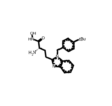 CC(C)(C)c1ccc(Cn2c(CC[C@H](N)C(=O)NO)nc3ccccc32)cc1